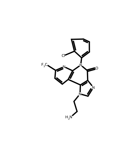 NCCn1cnc2c(=O)n(-c3ccccc3Cl)c3nc(C(F)(F)F)ccc3c21